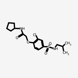 CC(C)CNS(=O)(=O)c1ccc(OCC(=O)NC2CCCC2)c(Cl)c1